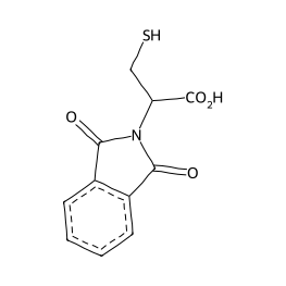 O=C(O)C(CS)N1C(=O)c2ccccc2C1=O